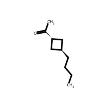 CCCC[C@H]1C[C@H](C(C)=O)C1